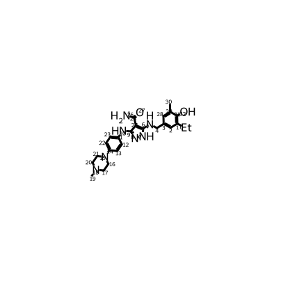 CCc1cc(CNc2[nH]nc(Nc3ccc(N4CCN(C)CC4)cc3)c2C(N)=O)cc(C)c1O